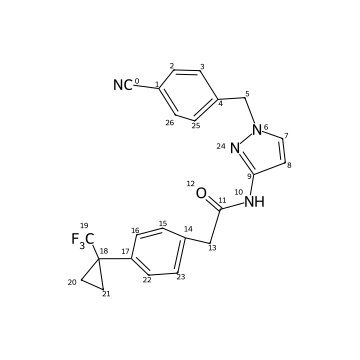 N#Cc1ccc(Cn2ccc(NC(=O)Cc3ccc(C4(C(F)(F)F)CC4)cc3)n2)cc1